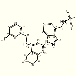 CS(=O)(=O)NCc1cccc2c1cnn2-c1nc2c(c(NCc3cccc(F)c3)n1)COCC2